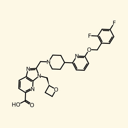 O=C(O)c1ccc2nc(CN3CCC(c4cccc(OCc5ccc(F)cc5F)n4)CC3)n(C[C@@H]3CCO3)c2n1